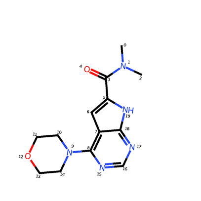 CN(C)C(=O)c1cc2c(N3CCOCC3)ncnc2[nH]1